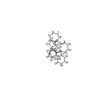 [C]1=C(C2CCCCCC2)C(C2=CCCC2)(C2CCCC2)C(C2=CCCCC2)(C2CCCCC2)CCC1